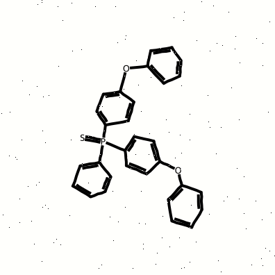 S=P(c1ccccc1)(c1ccc(Oc2ccccc2)cc1)c1ccc(Oc2ccccc2)cc1